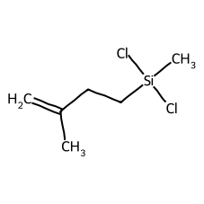 C=C(C)CC[Si](C)(Cl)Cl